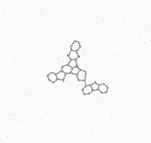 c1ccc2nc3c(nc2c1)c1cc2c4ccccc4sc2c2c4cc(-c5cccc6c5sc5ccccc56)ccc4n3c12